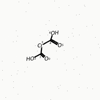 O=[C](O)[Cr][C](=O)O